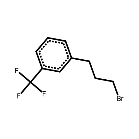 FC(F)(F)c1cccc(CCCBr)c1